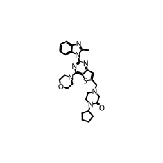 Cc1nc2ccccc2n1-c1nc(N2CCOCC2)c2sc(CN3CCN(C4CCCC4)C(=O)C3)cc2n1